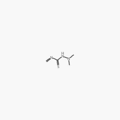 C=NC(=S)NN(C)C